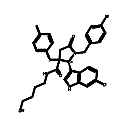 Cc1ccc(SC2(C(=O)NCCCCO)CC(=O)N(Cc3ccc(Br)cc3)[C@H]2c2c[nH]c3cc(Cl)ccc23)cc1